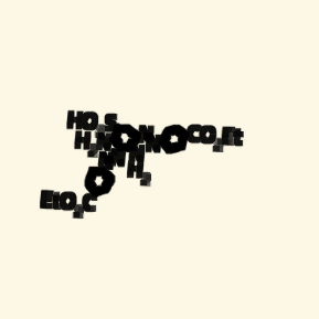 CCOC(=O)c1ccc(/N=N/c2cc(S(=O)(=O)O)c(N)c(/N=N/c3ccc(C(=O)OCC)cc3)c2N)cc1